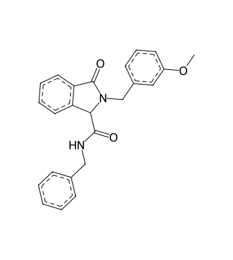 COc1cccc(CN2C(=O)c3ccccc3C2C(=O)NCc2ccccc2)c1